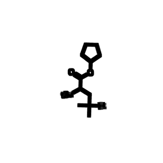 CCC(C)(C)CC(C(=O)OC1CCCC1)C(C)(C)C